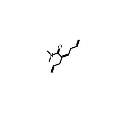 C=CCC=C(CC=C)C(=O)N(C)C